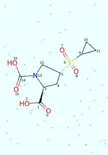 O=C(O)[C@@H]1C[C@@H](S(=O)(=O)C2CC2)CN1C(=O)O